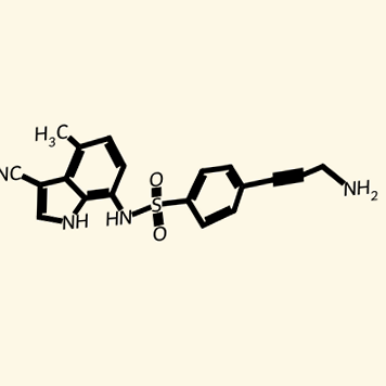 Cc1ccc(NS(=O)(=O)c2ccc(C#CCN)cc2)c2[nH]cc(C#N)c12